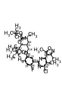 Cc1noc(C)c1-c1nc(-c2cc(OCC(CN(C)C(=O)OC(C)(C)C)C[Si](C)(C)C(C)(C)C)ccc2F)nc(Cl)c1C